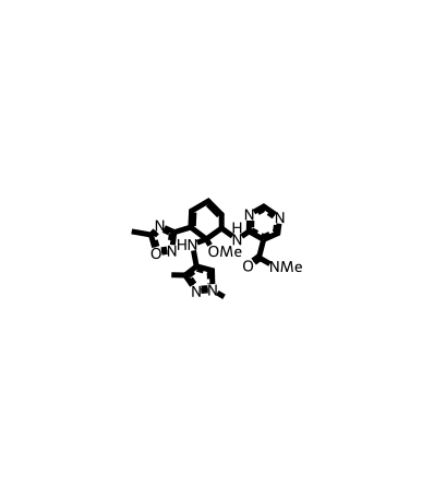 CNC(=O)c1cncnc1NC1C=CC=C(c2noc(C)n2)C1(Nc1cn(C)nc1C)OC